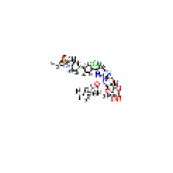 C[Si](C)(C)CCOCn1c(O[C@@H]2CO[C@H]3[C@@H]2OC[C@H]3O)nc2cc(Cl)c(-c3ccc(-c4ccc(N=S(C)(C)=O)c(F)c4)cc3)nc21